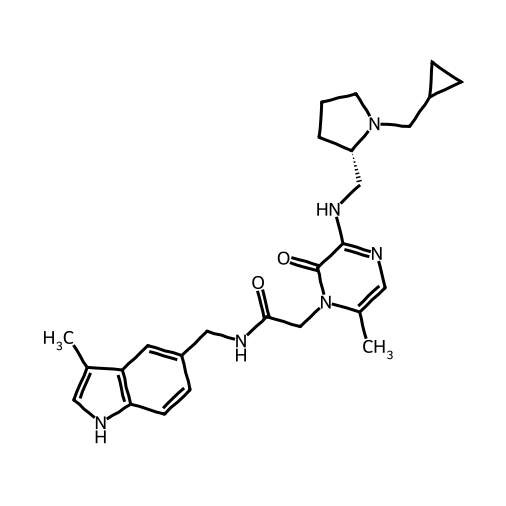 Cc1c[nH]c2ccc(CNC(=O)Cn3c(C)cnc(NC[C@@H]4CCCN4CC4CC4)c3=O)cc12